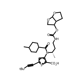 CC1CCC(C(=O)N(c2cc(C#CC(C)(C)C)sc2C(=O)O)[C@@H](C)CCNC(=O)OC2COC3OCCC23)CC1